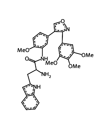 COc1ccc(-c2conc2-c2cc(OC)c(OC)c(OC)c2)cc1NC(=O)C(N)Cc1cc2ccccc2[nH]1